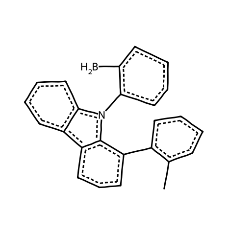 Bc1ccccc1-n1c2ccccc2c2cccc(-c3ccccc3C)c21